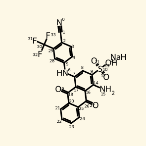 N#Cc1ccc(Nc2cc(S(=O)(=O)O)c(N)c3c2C(=O)c2ccccc2C3=O)cc1C(F)(F)F.[NaH]